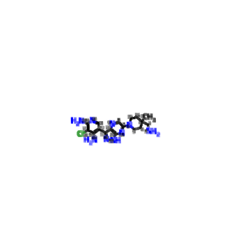 CC1(CN)CCN(c2cnc3c(-c4cnc(N)c(Cl)c4N)n[nH]c3n2)CC1